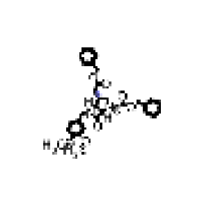 COc1ccc(CN2C(=O)[C@@H]3[C@H]2/C(=C/C(=O)OCc2ccccc2)CN3OC(=O)OCc2ccccc2)cc1OC